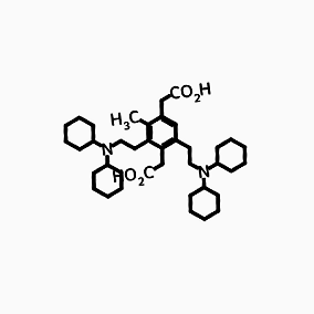 Cc1c(CC(=O)O)cc(CCN(C2CCCCC2)C2CCCCC2)c(CC(=O)O)c1CCN(C1CCCCC1)C1CCCCC1